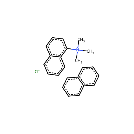 C[N+](C)(C)c1cccc2ccccc12.[Cl-].c1ccc2ccccc2c1